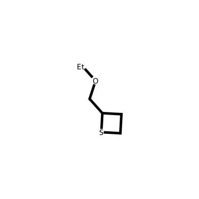 CCOCC1CCS1